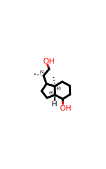 C[C@H](CO)C1CC[C@H]2C(O)CCC[C@]12C